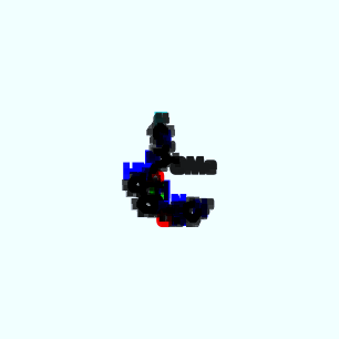 COCc1cc(C(=O)Nc2cccc(-c3cccc(NC(=O)c4nc5c(n4C)CCN(C)C5)c3Cl)c2C)ncc1CN1CC[C@@H](F)C1